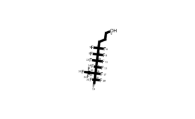 OC[CH]CC(F)(F)C(F)(F)C(F)(F)C(F)(F)C(F)(C(F)(F)F)C(F)(F)F